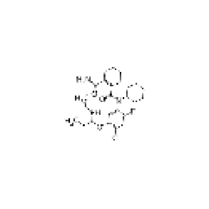 CCPC(CC)Oc1cc(N(C(=O)C2=C(C(N)=O)CCCC2)C2CCCCC2)c(F)cc1Cl